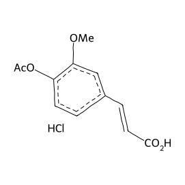 COc1cc(C=CC(=O)O)ccc1OC(C)=O.Cl